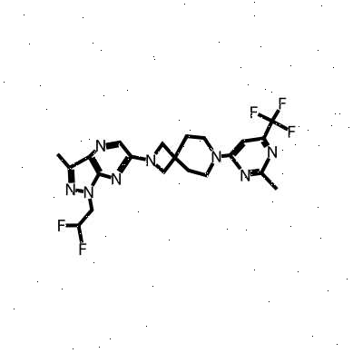 Cc1nc(N2CCC3(CC2)CN(c2cnc4c(C)nn(CC(F)F)c4n2)C3)cc(C(F)(F)F)n1